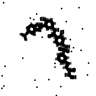 CN(C)c1ccc2[nH]c(-c3cc(NC(=O)c4ccc(NS(=O)(=O)c5cccc(/C=C/C(=O)NO)c5)cc4Cl)ccc3Cl)nc2c1